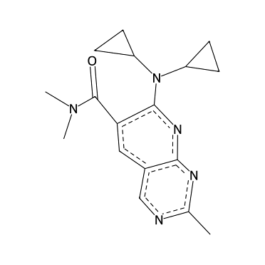 Cc1ncc2cc(C(=O)N(C)C)c(N(C3CC3)C3CC3)nc2n1